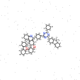 CC1(C)c2ccccc2-c2ccc(-c3nc(-c4ccccc4)nc(-c4ccc(-c5nc6ccccc6c6c(-c7cccc8c7oc7ccccc78)c7c(cc56)oc5ccccc57)cc4)n3)cc21